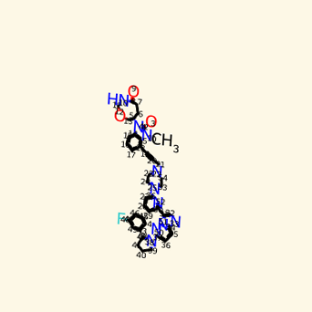 Cn1c(=O)n(C2CCC(=O)NCOC2)c2cccc(C#CCN3CCN(c4cccc(-c5cnc6ccc(N7CCC[C@@H]7c7cccc(F)c7)nn56)n4)CC3)c21